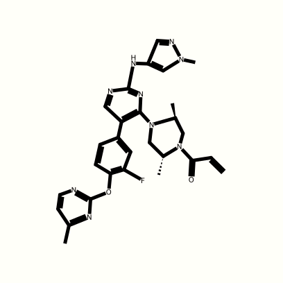 C=CC(=O)N1C[C@H](C)N(c2nc(Nc3cnn(C)c3)ncc2-c2ccc(Oc3nccc(C)n3)c(F)c2)C[C@H]1C